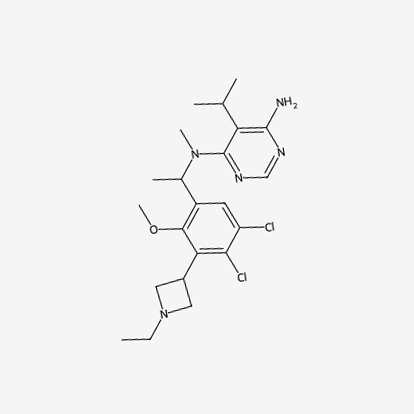 CCN1CC(c2c(Cl)c(Cl)cc(C(C)N(C)c3ncnc(N)c3C(C)C)c2OC)C1